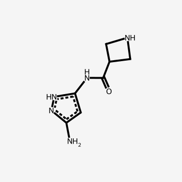 Nc1cc(NC(=O)C2CNC2)[nH]n1